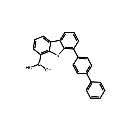 OB(O)c1cccc2c1sc1c(-c3ccc(-c4ccccc4)cc3)cccc12